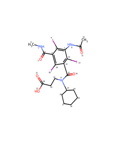 CNC(=O)c1c(I)c(NC(C)=O)c(I)c(C(=O)N(CCC(=O)O)C2CCCCC2)c1I